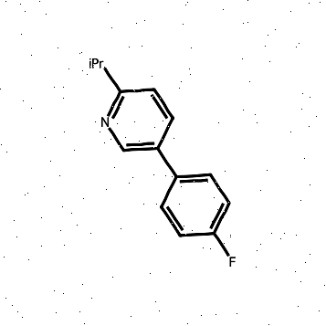 CC(C)c1ccc(-c2ccc(F)cc2)cn1